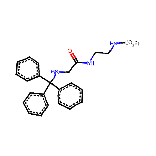 CCOC(=O)NCCNC(=O)CNC(c1ccccc1)(c1ccccc1)c1ccccc1